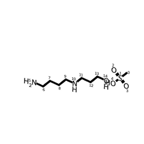 CS(=O)(=O)O.NCCCCNCCCO